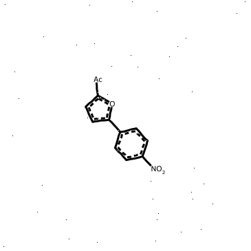 CC(=O)c1ccc(-c2ccc([N+](=O)[O-])cc2)o1